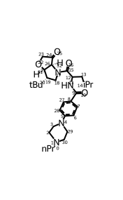 CCCN1CCN(c2ccc(C(=O)NC(CC(C)C)C(=O)N3C[C@H](C(C)(C)C)[C@H]4OCC(=O)[C@H]43)cc2)CC1